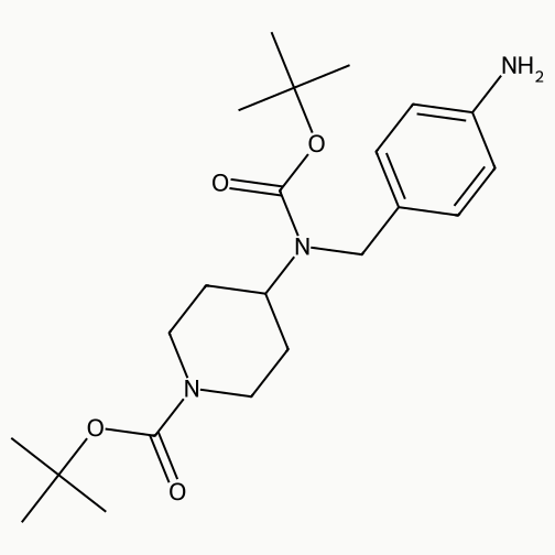 CC(C)(C)OC(=O)N1CCC(N(Cc2ccc(N)cc2)C(=O)OC(C)(C)C)CC1